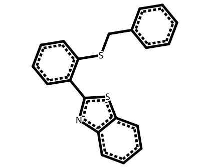 [c]1cccc(SCc2ccccc2)c1-c1nc2ccccc2s1